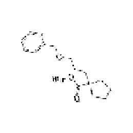 CC(C)(C)OC(=O)C1(CCCOCc2ccccc2)CCCC1